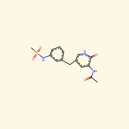 CC(=O)Nc1cc(Cc2cccc(NS(C)(=O)=O)c2)c[nH]c1=O